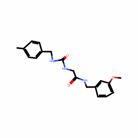 COc1cccc(CNC(=O)CNC(=O)NCc2ccc(C)cc2)c1